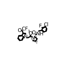 C[C@H]1C[C@@H](C(=O)NCc2cccc(Cl)c2F)N(C(=O)Cn2cc(C(=O)C(F)(F)F)c3ccccc32)C1